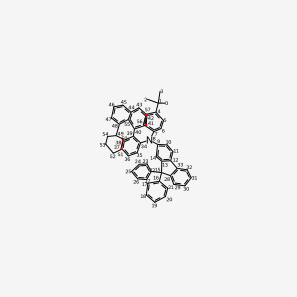 CC(C)(C)c1ccc(N(c2ccc3c(c2)C(c2ccccc2)(c2ccccc2)c2ccccc2-3)c2ccccc2-c2cccc3cccc(C4CCCCC4)c23)cc1